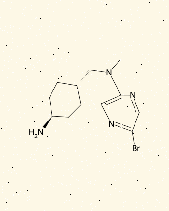 CN(C[C@H]1CC[C@H](N)CC1)c1cnc(Br)cn1